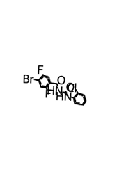 O=C(NC(=O)c1cc(F)c(Br)cc1F)Nc1ccccc1Cl